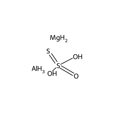 O=S(O)(O)=S.[AlH3].[MgH2]